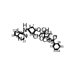 C[C@]12OC[C@H](Oc3ccc(Nc4ncnc5ccsc45)cc3Cl)[C@@]1(C)OC[C@@H]2OC(=O)c1ccccc1